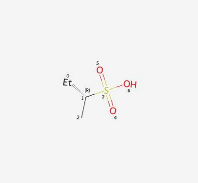 CC[C@@H](C)S(=O)(=O)O